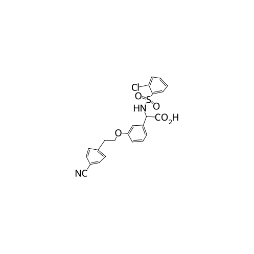 N#Cc1ccc(CCOc2cccc(C(NS(=O)(=O)c3ccccc3Cl)C(=O)O)c2)cc1